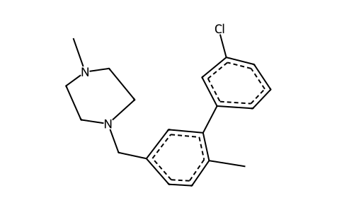 Cc1ccc(CN2CCN(C)CC2)cc1-c1cccc(Cl)c1